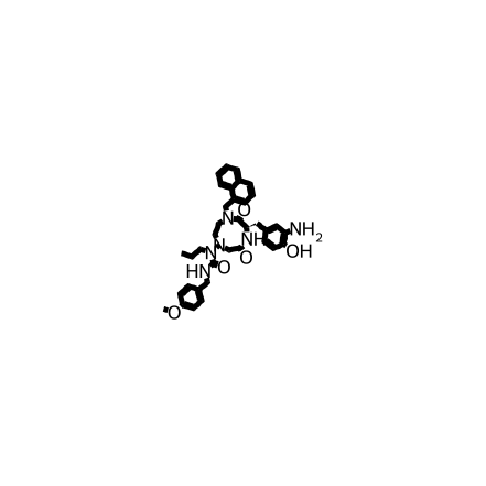 CCCN(C(=O)NCc1ccc(OC)cc1)N1CCN(Cc2cccc3ccccc23)C(=O)[C@H](Cc2ccc(O)c(N)c2)NC(=O)C1